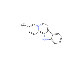 Cc1ccc2c3[nH]c4ccccc4c3cc[n+]2c1